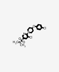 CN(C)S(=O)(=O)c1cnc(N2CCC(Oc3ccc(Cl)cc3)CC2)c(Cl)c1